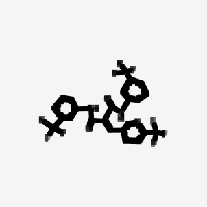 O=C(Nc1cccc(C(F)(F)F)c1)C(=Cc1ccc(C(F)(F)F)nc1)C(=O)Nc1cccc(C(F)(F)F)c1